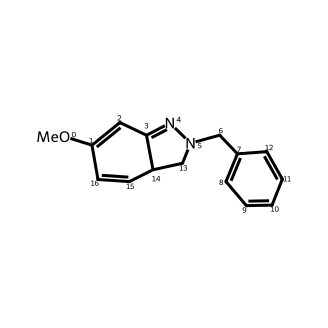 COC1=CC2=NN(Cc3ccccc3)CC2C=C1